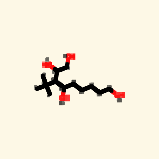 CC(C)(C)C(C(O)CO)C(O)CCCCCO